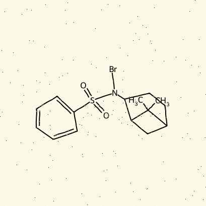 CC1(C)C2CCC(N(Br)S(=O)(=O)c3ccccc3)C1C2